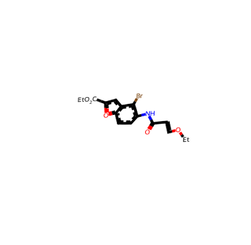 CCO/C=C/C(=O)Nc1ccc2oc(C(=O)OCC)cc2c1Br